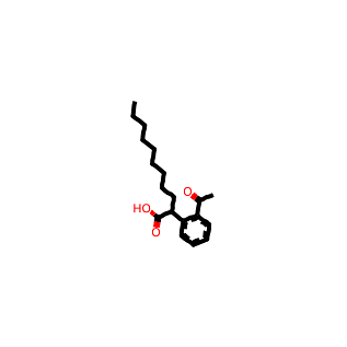 CCCCCCCCCC(C(=O)O)c1ccccc1C(C)=O